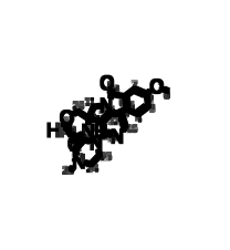 COc1ccc2c(c1)C(=O)N(CC1(c3cccnc3N3CCN(C)CC3)CONC(=O)N1)C2